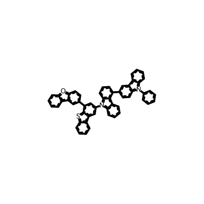 c1ccc(-n2c3ccccc3c3cc(-c4cccc5c4c4ccccc4n5-c4cc(-c5ccc6oc7ccccc7c6c5)c5sc6ccccc6c5c4)ccc32)cc1